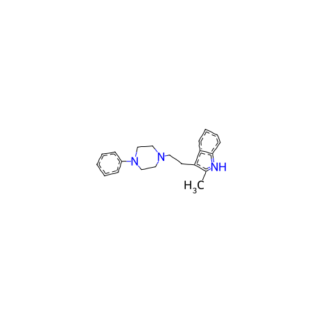 Cc1[nH]c2ccccc2c1CCN1CCN(c2ccccc2)CC1